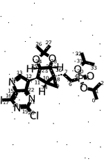 CC(C)OP(=O)(CC[C@]12C[C@@H]1[C@@H](C1C=Nc3c(Cl)nc(Cl)nc31)[C@@H]1OC(C)(C)O[C@@H]12)OC(C)C